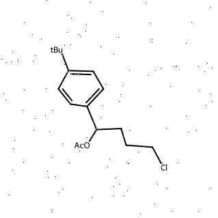 CC(=O)OC(CCCCl)c1ccc(C(C)(C)C)cc1